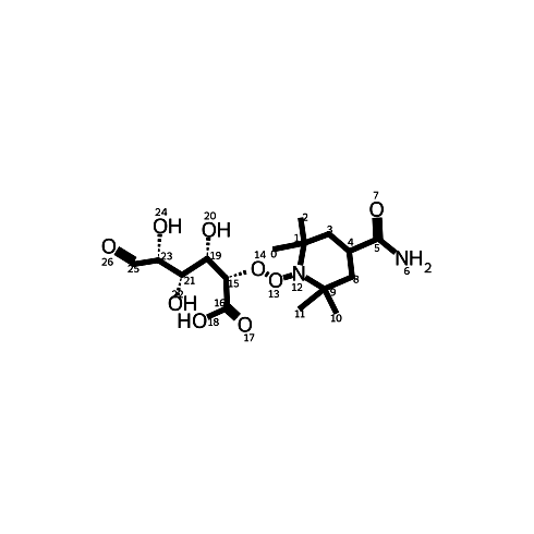 CC1(C)CC(C(N)=O)CC(C)(C)N1OO[C@H](C(=O)O)[C@@H](O)[C@H](O)[C@@H](O)C=O